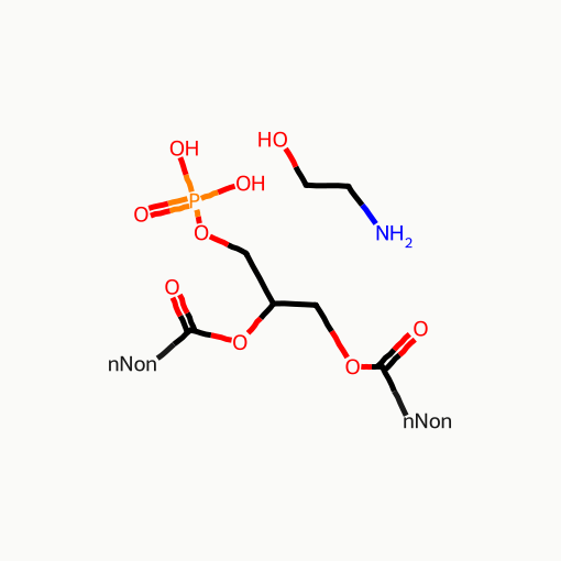 CCCCCCCCCC(=O)OCC(COP(=O)(O)O)OC(=O)CCCCCCCCC.NCCO